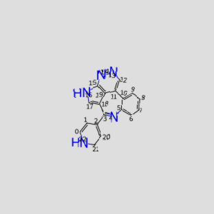 C1=CC(C2=Nc3ccccc3-c3cnnc4[nH]cc2c34)=CCN1